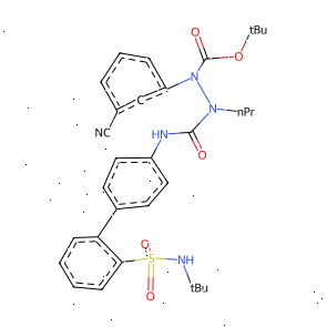 CCCN(C(=O)Nc1ccc(-c2ccccc2S(=O)(=O)NC(C)(C)C)cc1)N(C(=O)OC(C)(C)C)c1cccc(C#N)c1